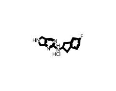 Cl.Fc1ccc2c(c1)CC(Nc1ncc3c(n1)CNC3)C2